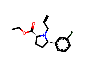 C=CCN1[C@@H](C(=O)OCC)CC[C@H]1c1cccc(F)c1